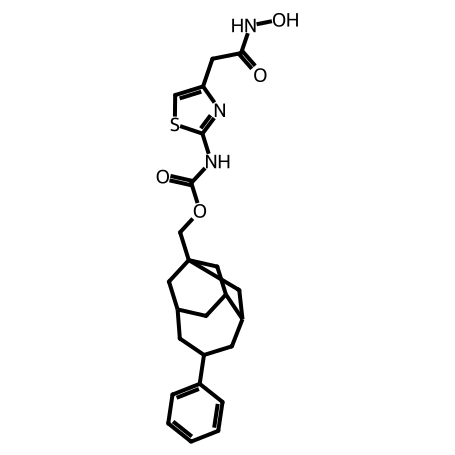 O=C(Cc1csc(NC(=O)OCC23CC4CC(c5ccccc5)CC(C2)C(C4)C3)n1)NO